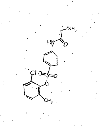 Cc1cccc(Cl)c1OS(=O)(=O)c1ccc(NC(=O)CN)cc1